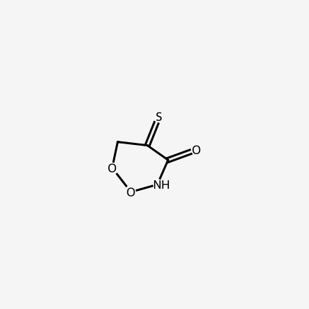 O=C1NOOCC1=S